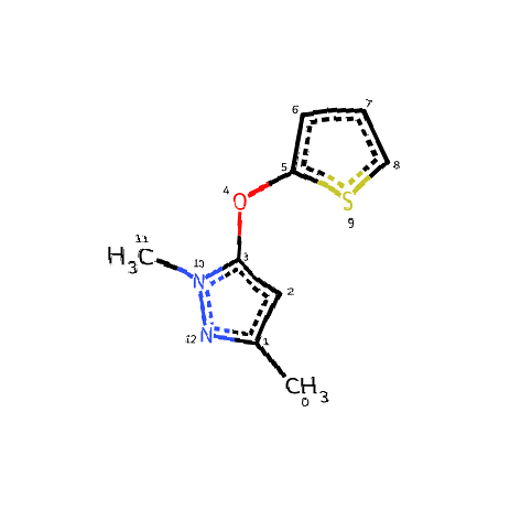 Cc1cc(Oc2cccs2)n(C)n1